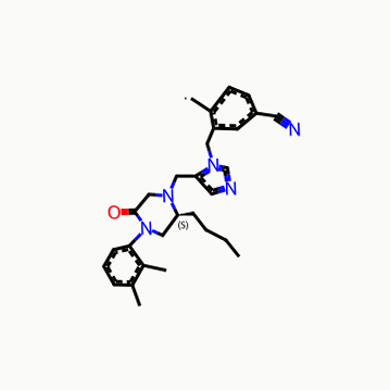 [CH2]c1ccc(C#N)cc1Cn1cncc1CN1CC(=O)N(c2cccc(C)c2C)C[C@@H]1CCCC